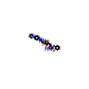 O=C1NC(=S)N(Cc2ccccc2)/C1=C/c1cc2sc(/N=N/c3ccc(N4CCCC4)cc3)nc2s1